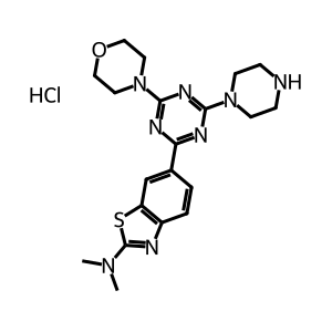 CN(C)c1nc2ccc(-c3nc(N4CCNCC4)nc(N4CCOCC4)n3)cc2s1.Cl